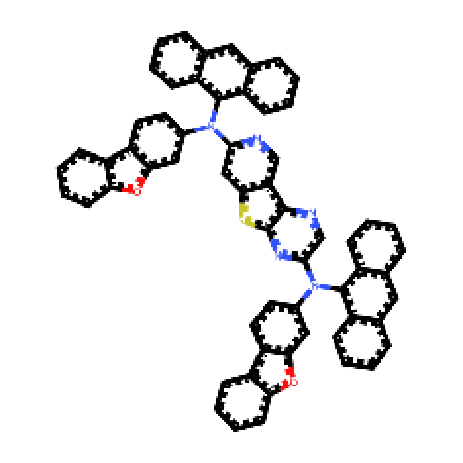 c1ccc2c(N(c3ccc4c(c3)oc3ccccc34)c3cc4sc5nc(N(c6ccc7c(c6)oc6ccccc67)c6c7ccccc7cc7ccccc67)cnc5c4cn3)c3ccccc3cc2c1